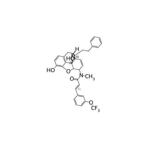 CN(C(=O)/C=C/c1cccc(OC(F)(F)F)c1)C1C=C[C@@]2(O)[C@H]3Cc4ccc(O)c5c4[C@@]2(CCN3CCc2ccccc2)C1O5